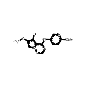 CCc1c(OC(=O)O)cn2ncnc(Nc3ccc(OC)nc3)c12